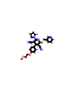 COCCOc1ccc(-c2c(C#N)c(SCc3cccnc3)nc(N3CCCC3)c2C#N)cc1